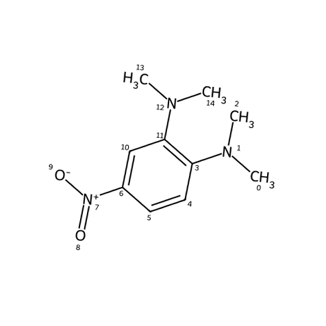 CN(C)c1ccc([N+](=O)[O-])cc1N(C)C